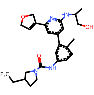 Cc1ccc(NC(=O)N2CCC(CC(F)(F)F)C2)cc1-c1cc(NC(C)CO)nc(C2=CCOC2)c1